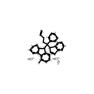 C=CCCC(c1ccccc1)(C1C=Cc2ccccc21)C1c2ccccc2-c2c(C)cccc21.Cl.Cl.[Zr]